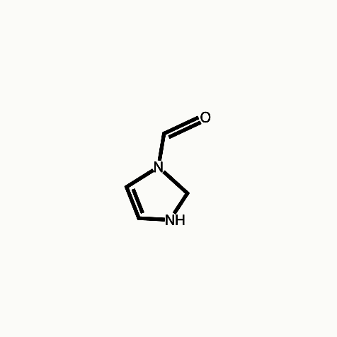 O=CN1C=CNC1